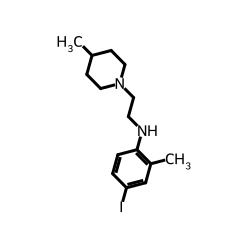 Cc1cc(I)ccc1NCCN1CCC(C)CC1